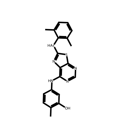 Cc1ccc(Nc2ncnc3sc([AsH]c4c(C)cccc4C)nc23)cc1O